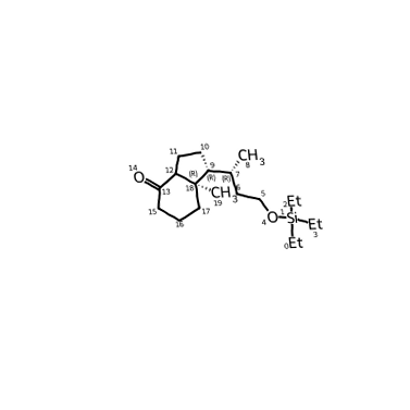 CC[Si](CC)(CC)OCC[C@@H](C)[C@H]1CCC2C(=O)CCC[C@@]21C